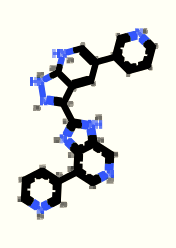 C1=C(c2cccnc2)C=C2C(c3nc4c(-c5cccnc5)cncc4[nH]3)=NNC2N1